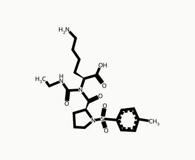 CCNC(=O)N(C(=O)[C@@H]1CCCN1S(=O)(=O)c1ccc(C)cc1)[C@@H](CCCCN)C(=O)O